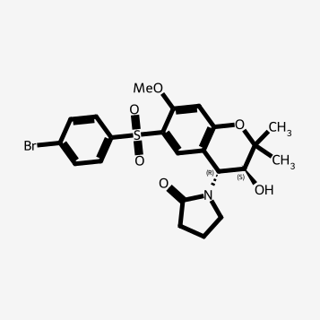 COc1cc2c(cc1S(=O)(=O)c1ccc(Br)cc1)[C@@H](N1CCCC1=O)[C@H](O)C(C)(C)O2